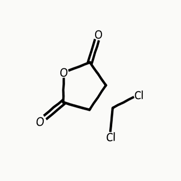 ClCCl.O=C1CCC(=O)O1